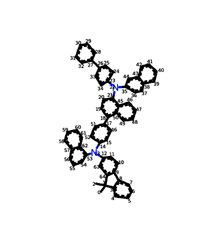 CC1(C)c2ccccc2-c2ccc(N(c3ccc(-c4ccc(N(c5ccc(-c6ccccc6)cc5)c5ccc6ccccc6c5)c5ccccc45)cc3)c3cccc4ccccc34)cc21